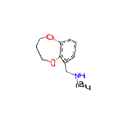 CCCCNCc1cccc2c1OCCCO2